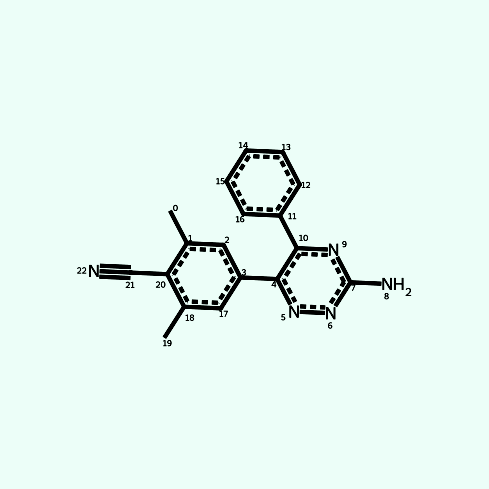 Cc1cc(-c2nnc(N)nc2-c2ccccc2)cc(C)c1C#N